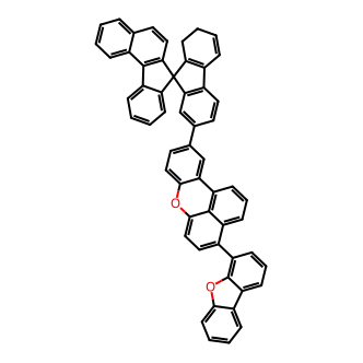 C1=CC2=C(CC1)C1(c3cc(-c4ccc5c(c4)-c4cccc6c(-c7cccc8c7oc7ccccc78)ccc(c46)O5)ccc32)c2ccccc2-c2c1ccc1ccccc21